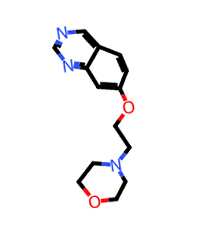 c1ncc2ccc(OCCN3CCOCC3)cc2n1